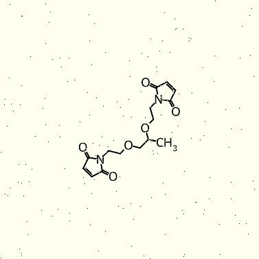 C[C@@H](COCCN1C(=O)C=CC1=O)OCCN1C(=O)C=CC1=O